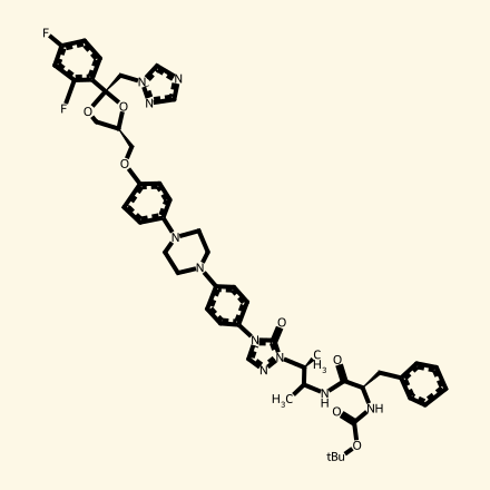 CC(NC(=O)[C@@H](Cc1ccccc1)NC(=O)OC(C)(C)C)[C@H](C)n1ncn(-c2ccc(N3CCN(c4ccc(OC[C@H]5CO[C@](Cn6cncn6)(c6ccc(F)cc6F)O5)cc4)CC3)cc2)c1=O